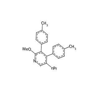 CCCc1[c]nc(OC)c(-c2ccc(C)cc2)c1-c1ccc(C)cc1